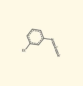 CCc1cccc(N=[N+]=[N-])c1